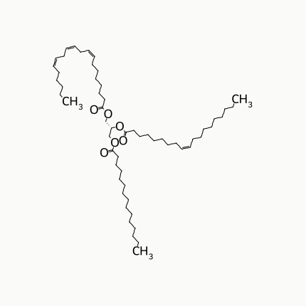 CCCCC/C=C\C/C=C\C/C=C\CCCCCCC(=O)OC[C@@H](COC(=O)CCCCCCCCCCCCCC)OC(=O)CCCCCCC/C=C\CCCCCCCCC